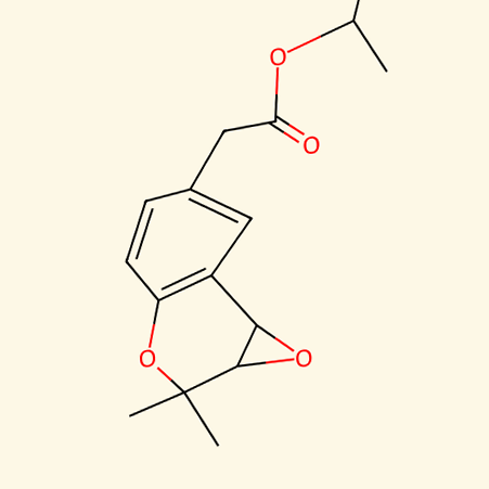 CC(C)OC(=O)Cc1ccc2c(c1)C1OC1C(C)(C)O2